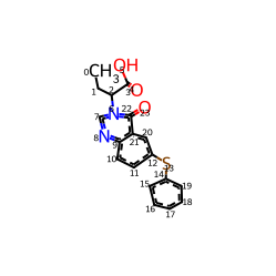 CCC(C(=O)O)n1cnc2ccc(Sc3ccccc3)cc2c1=O